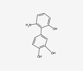 Nc1cccc(O)c1-c1ccc(O)c(O)c1